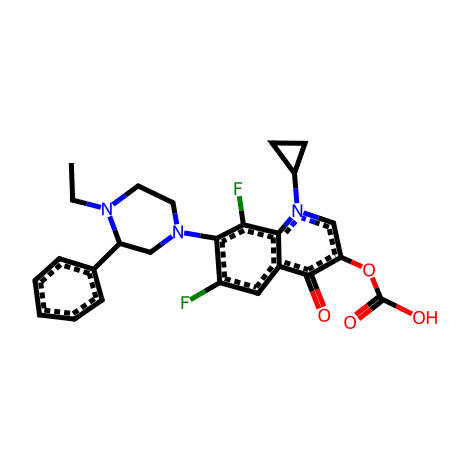 CCN1CCN(c2c(F)cc3c(=O)c(OC(=O)O)cn(C4CC4)c3c2F)CC1c1ccccc1